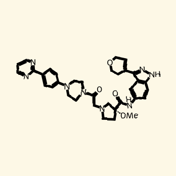 CO[C@]1(C(=O)Nc2ccc3[nH]nc(C4=CCOCC4)c3c2)CCN(CC(=O)N2CCN(c3ccc(-c4ncccn4)cc3)CC2)C1